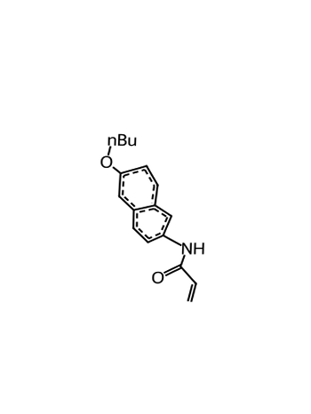 C=CC(=O)Nc1ccc2cc(OCCCC)ccc2c1